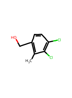 Cc1c(CO)ccc(Cl)c1Cl